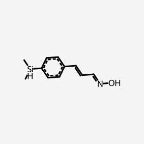 C[SiH](C)c1ccc(C=CC=NO)cc1